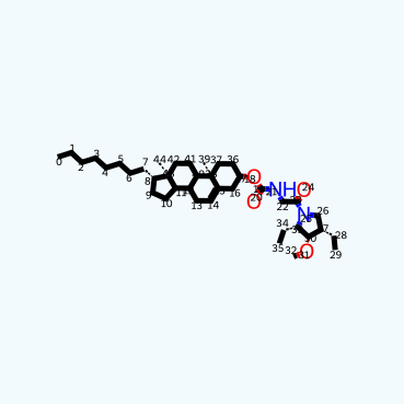 CCCCCCCC[C@H]1CCC2C3CC=C4CC(OC(=O)NCC(=O)N5C[C@H](CC)[C@H](OC)[C@@H]5CC)CC[C@]4(C)C3CC[C@@]21C